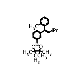 Cc1ccccc1/C(=C\C(C)C)c1cccc(B2OC(C)(C)C(C)(C)O2)c1